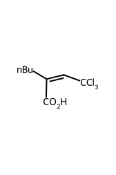 CCCCC(=CC(Cl)(Cl)Cl)C(=O)O